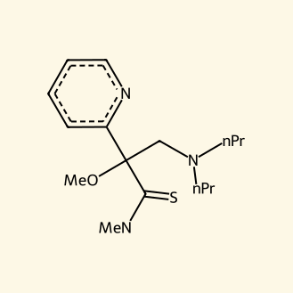 CCCN(CCC)CC(OC)(C(=S)NC)c1ccccn1